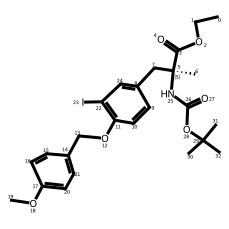 CCOC(=O)[C@](C)(Cc1ccc(OCc2ccc(OC)cc2)c(I)c1)NC(=O)OC(C)(C)C